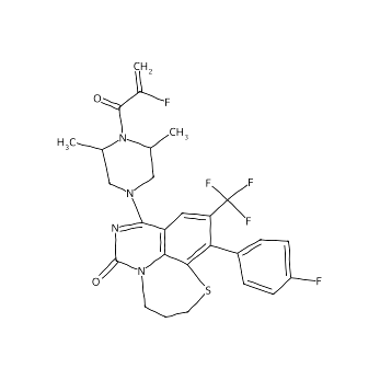 C=C(F)C(=O)N1C(C)CN(c2nc(=O)n3c4c(c(-c5ccc(F)cc5)c(C(F)(F)F)cc24)SCCC3)CC1C